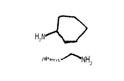 CCCCCCN.NC1CCCCC1